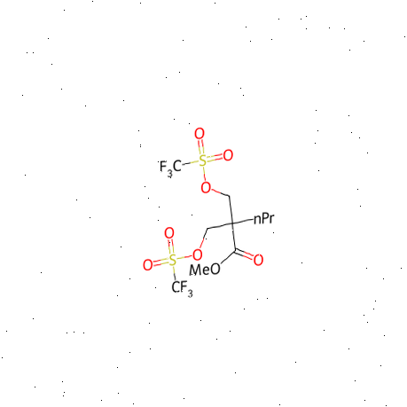 CCCC(COS(=O)(=O)C(F)(F)F)(COS(=O)(=O)C(F)(F)F)C(=O)OC